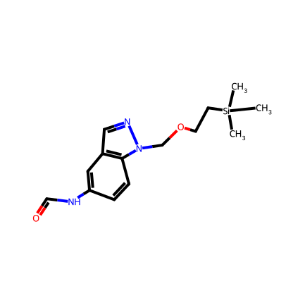 C[Si](C)(C)CCOCn1ncc2cc(NC=O)ccc21